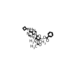 CC(=O)O[C@@]1(C)[C@@H](COC(=O)c2ccccc2)O[C@@H](n2cnc3c(NC4CCC4)ncnc32)[C@]1(C)F